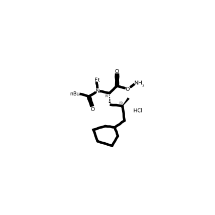 CCCCC(=O)N(CC)[C@@H](C[C@@H](C)CC1CCCCC1)C(=O)ON.Cl